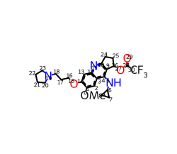 COc1cc2c(NC3CC3)c3c(nc2cc1OCCCN1CCCC1)CCC3OC(=O)C(F)(F)F